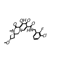 CO[C@H]1C[C@]2(Cn3cc(C(=O)NCc4cccc(Cl)c4F)c(=O)c(O)c3C(=O)N2C)C1